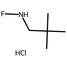 CC(C)(C)CNF.Cl